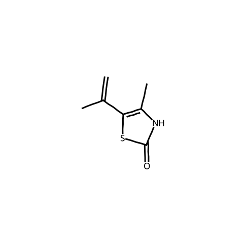 C=C(C)c1sc(=O)[nH]c1C